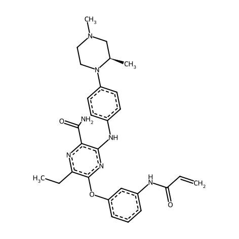 C=CC(=O)Nc1cccc(Oc2nc(Nc3ccc(N4CCN(C)C[C@H]4C)cc3)c(C(N)=O)nc2CC)c1